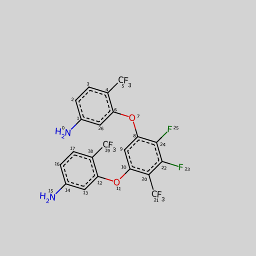 Nc1ccc(C(F)(F)F)c(Oc2cc(Oc3cc(N)ccc3C(F)(F)F)c(C(F)(F)F)c(F)c2F)c1